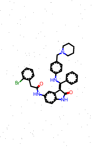 O=C(Cc1ccccc1Br)Nc1ccc2c(c1)C(=C(Nc1ccc(CN3CCCCC3)cc1)c1ccccc1)C(=O)N2